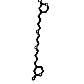 O=C1CC(CCCCOCCCOCCCCC2CCOC(=O)C2)CCO1